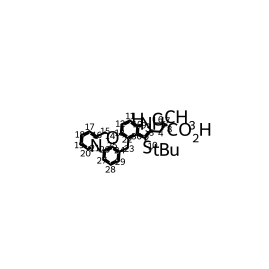 CC(C)(C)Sc1c(CC(C)(C)C(=O)O)[nH]c2ccc(OCc3ccccn3)c(Cc3ccccc3)c12